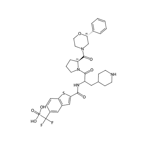 O=C(NC(CC1CCNCC1)C(=O)N1CCC[C@H]1C(=O)N1CCO[C@H](c2ccccc2)C1)c1cc2cc(C(F)(F)P(=O)(O)O)ccc2s1